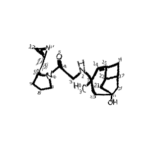 CC1(NCC(=O)N2CCC[C@H]2C2=C=N2)C=C2CC3CC(O)(CC23)C1